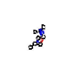 c1ccc(-c2ccc3c(c2)c2ccccc2n3-c2cccc3c2oc2cccc(-c4nc(-c5ccccc5)nc(-c5ccccc5)n4)c23)cc1